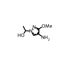 COc1nn(C(C)O)cc1N